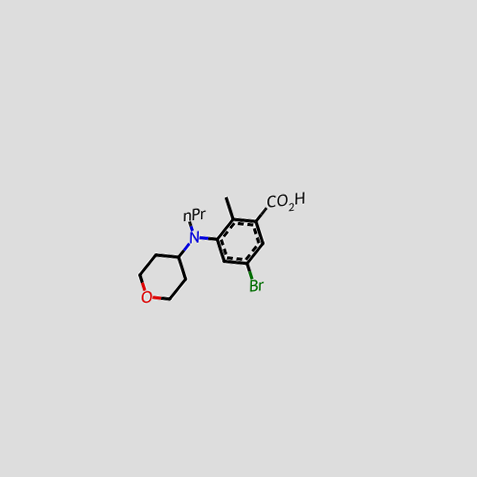 CCCN(c1cc(Br)cc(C(=O)O)c1C)C1CCOCC1